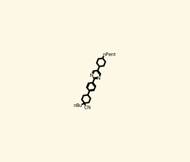 CCCCCC1CCC(c2cnc(-c3ccc(C4CCC(C#N)(CCCC)CC4)cc3)nc2)CC1